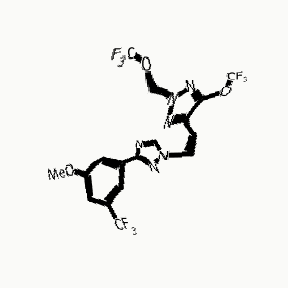 COc1cc(-c2ncn(/C=C\c3nn(COC(F)(F)F)nc3OC(F)(F)F)n2)cc(C(F)(F)F)c1